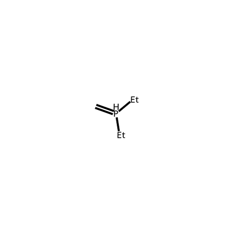 C=[PH](CC)CC